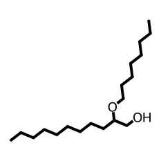 CCCCCCCCCC(CO)OCCCCCCCC